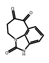 O=C1CCn2c(=O)[nH]c3cccc(c32)C1=O